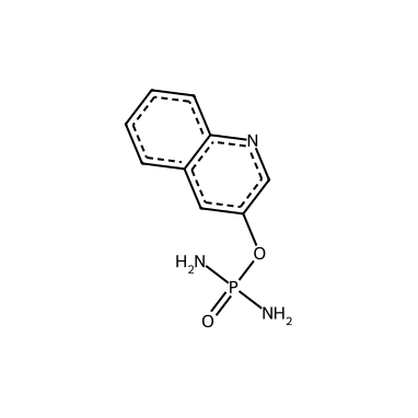 NP(N)(=O)Oc1cnc2ccccc2c1